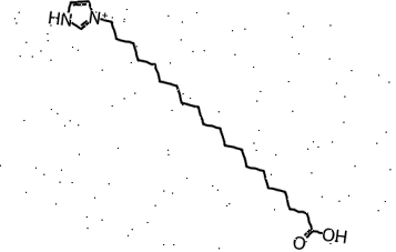 O=C(O)CCCCCCCCCCCCCCCCCCC[n+]1cc[nH]c1